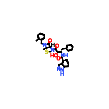 Cc1ccccc1CN1C(=O)[C@H]2N(C(=O)[C@@H](O)[C@H](Cc3ccccc3)NC(=O)c3cccc4[nH]ncc34)CSC21C